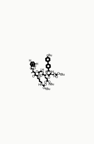 CCCCOC(=O)CC[C@H](NC(=O)[C@H](CNC(=O)OC(C)(C)C)NC(=O)c1ccc(-c2ccc(CCCC)cc2)cc1)C(=O)N[C@@H](C)C(=O)N[C@@H](CCCCNC(=O)OC(C)(C)C)C(=O)C[C@@H](C)B1OC2C[C@@H]3C[C@@H](C3(C)C)[C@]2(C)O1